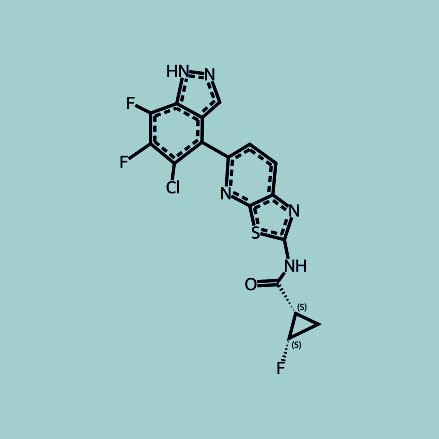 O=C(Nc1nc2ccc(-c3c(Cl)c(F)c(F)c4[nH]ncc34)nc2s1)[C@@H]1C[C@@H]1F